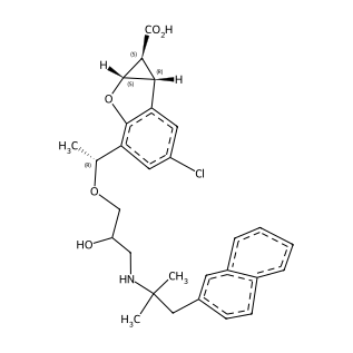 C[C@@H](OCC(O)CNC(C)(C)Cc1ccc2ccccc2c1)c1cc(Cl)cc2c1O[C@@H]1[C@@H](C(=O)O)[C@H]21